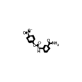 NC(=O)c1cccc(NC(=O)Oc2ccc([N+](=O)[O-])cc2)c1